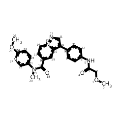 COCC(=O)Nc1ccc(-c2cnn3ccc(C(=O)N(C)c4ccc(OC)nc4)cc23)cc1